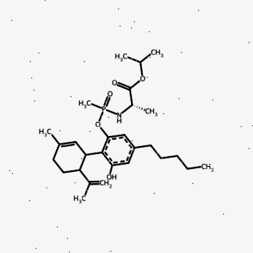 C=C(C)C1CCC(C)=CC1c1c(O)cc(CCCCC)cc1OP(C)(=O)N[C@@H](C)C(=O)OC(C)C